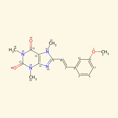 COc1cccc(C=Cc2nc3c(c(=O)n(C)c(=O)n3C)n2C)c1